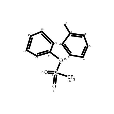 Cc1ccccc1.O=S(=O)(Oc1ccccc1)C(F)(F)F